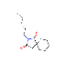 O=C1CC2(CCCCC2)C(=O)N1CCCCBr